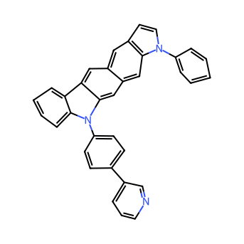 c1ccc(-n2ccc3cc4cc5c6ccccc6n(-c6ccc(-c7cccnc7)cc6)c5cc4cc32)cc1